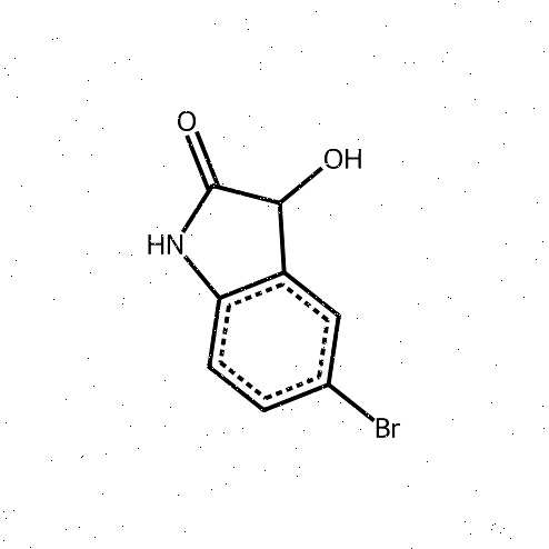 O=C1Nc2ccc(Br)cc2C1O